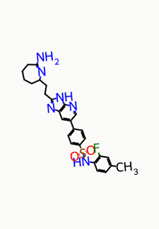 Cc1ccc(NS(=O)(=O)c2ccc(-c3cnc4[nH]c(CCC5CCCCC(N)=N5)nc4c3)cc2)c(F)c1